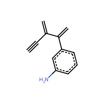 C#CC(=C)C(=C)c1cccc(N)c1